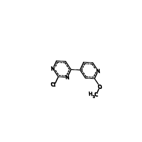 COc1cc(-c2ccnc(Cl)n2)ccn1